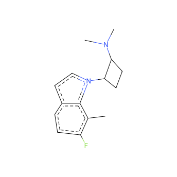 Cc1c(F)ccc2ccn(C3CCC3N(C)C)c12